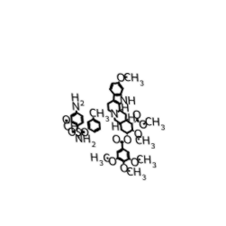 C=O.COC(=O)[C@H]1[C@H]2C[C@@H]3c4[nH]c5cc(OC)ccc5c4CCN3C[C@H]2C[C@@H](OC(=O)c2cc(OC)c(OC)c(OC)c2)[C@@H]1OC.Cc1ccccc1.Nc1ccc(S(N)(=O)=O)cc1